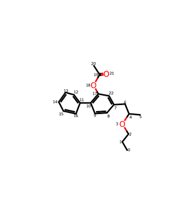 CCCOC(C)Cc1ccc(-c2ccccc2)c(OC(C)=O)c1